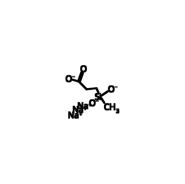 C[Si]([O-])([O-])CCC(=O)[O-].[Na+].[Na+].[Na+]